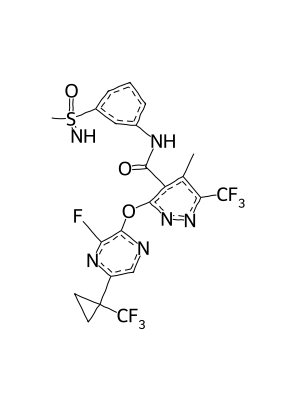 Cc1c(C(F)(F)F)nnc(Oc2ncc(C3(C(F)(F)F)CC3)nc2F)c1C(=O)Nc1cccc(S(C)(=N)=O)c1